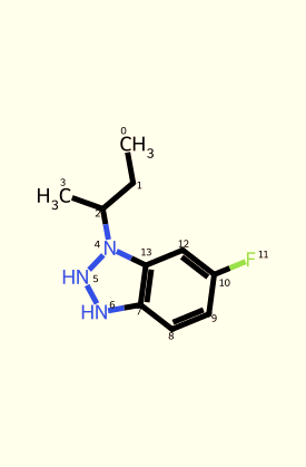 CCC(C)N1NNc2ccc(F)cc21